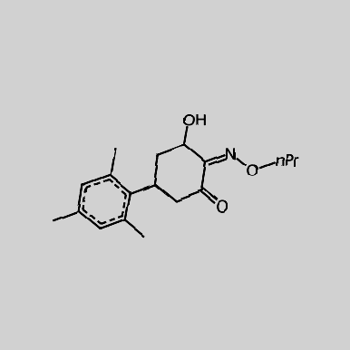 CCCON=C1C(=O)CC(c2c(C)cc(C)cc2C)CC1O